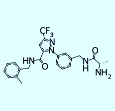 Cc1ccccc1CNC(=O)c1cc(C(F)(F)F)nn1-c1cccc(CNC(=O)[C@H](C)N)c1